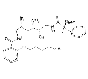 COCCCCOc1ccccc1C(=O)NC[C@@H](C[C@H](N)[C@@H](O)CNC(=O)[C@](C)(OC)c1ccccc1)C(C)C